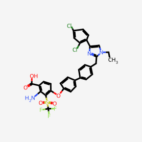 CCn1cc(-c2ccc(Cl)cc2Cl)nc1Cc1ccc(-c2ccc(Oc3ccc(C(=O)O)c(N)c3S(=O)(=O)C(F)(F)F)cc2)cc1